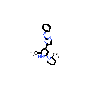 C=C1C=C(c2ccnc(Nc3ccccc3)n2)C=C(N2CCCCC2C(F)(F)F)N1